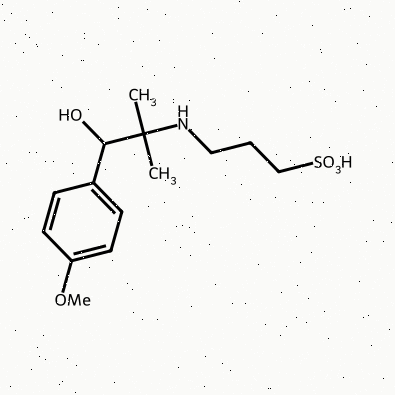 COc1ccc(C(O)C(C)(C)NCCCS(=O)(=O)O)cc1